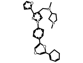 CN1CCC(N(C)Cc2cn(-c3ccc(C4=COC=C(C5=CC=CCC5)O4)cc3)nc2-c2ccco2)C1